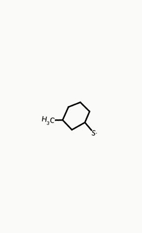 CC1CCCC([S])C1